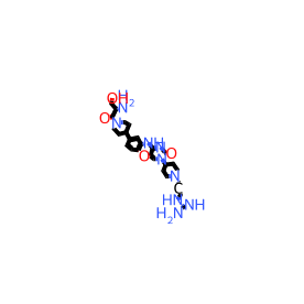 N=C(N)NCCCN1CCC(n2cc3c(nc2=O)Nc2cc(C4CCN(C(=O)C(N)CO)CC4)ccc2O3)CC1